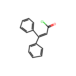 O=C(Cl)C=C(c1ccccc1)c1ccccc1